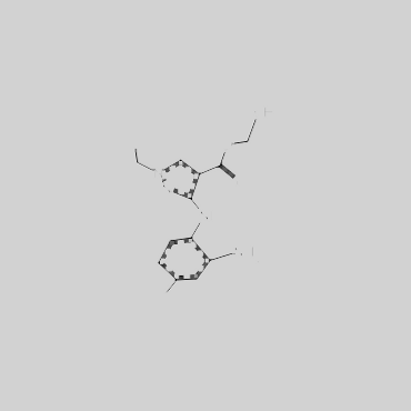 CCOC(=O)c1cn(CC)nc1Nc1ccc(F)cc1N